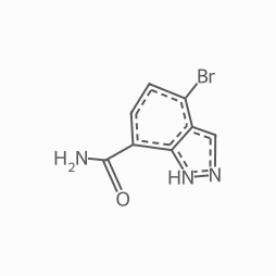 NC(=O)c1ccc(Br)c2cn[nH]c12